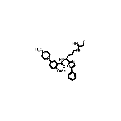 COc1ccc(N2CCN(C)CC2)cc1C(=O)N[C@@H](CCCNC(=N)CF)c1ncc(-c2ccccc2)o1